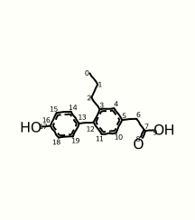 CCCc1cc(CC(=O)O)ccc1-c1ccc(O)cc1